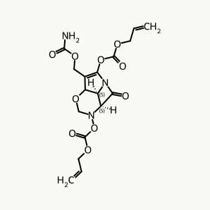 C=CCOC(=O)OC1=C(COC(N)=O)C2OCN(OC(=O)OCC=C)[C@@H]3C(=O)N1[C@H]23